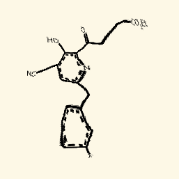 CCOC(=O)CCC(=O)c1nc(Cc2cccc(F)c2)cc(C#N)c1O